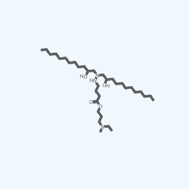 CCCCCCCCCCC(O)CN(CC(O)CCCCCCCCCC)NCCCC(=O)OCCCN(C)CC